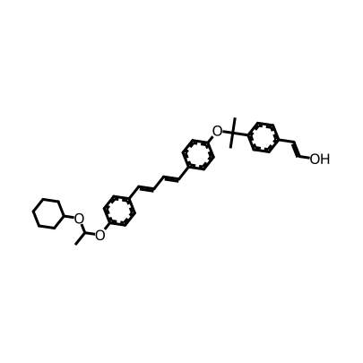 CC(Oc1ccc(C=CC=Cc2ccc(OC(C)(C)c3ccc(C=CO)cc3)cc2)cc1)OC1CCCCC1